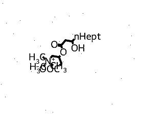 CCCCCCCC(O)CC(=O)OC(CC(=O)[O-])C[N+](C)(C)C